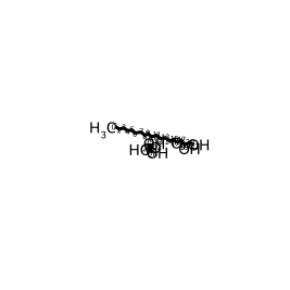 CCCCCCCCCCCCCCCCOC[C@H](O)CO.O=P(O)(O)O